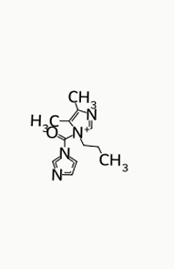 CCC[N+]1(C(=O)n2ccnc2)C=NC(C)=C1C